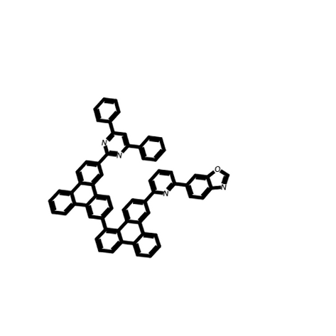 c1ccc(-c2cc(-c3ccccc3)nc(-c3ccc4c5ccccc5c5cc(-c6cccc7c8ccccc8c8cc(-c9cccc(-c%10ccc%11ncoc%11c%10)n9)ccc8c67)ccc5c4c3)n2)cc1